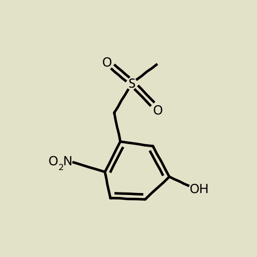 CS(=O)(=O)Cc1cc(O)ccc1[N+](=O)[O-]